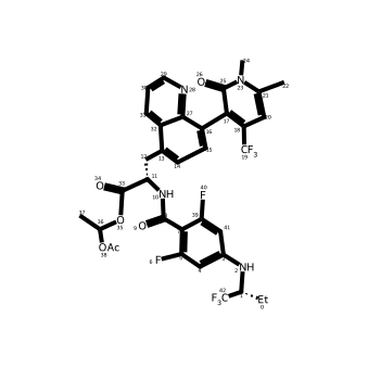 CC[C@@H](Nc1cc(F)c(C(=O)N[C@@H](Cc2ccc(-c3c(C(F)(F)F)cc(C)n(C)c3=O)c3ncccc23)C(=O)OC(C)OC(C)=O)c(F)c1)C(F)(F)F